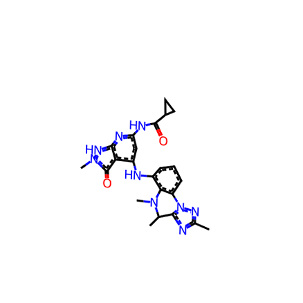 Cc1nc2n(n1)-c1cccc(Nc3cc(NC(=O)C4CC4)nc4[nH]n(C)c(=O)c34)c1N(C)C2C